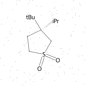 CC(C)[C@@]1(C(C)(C)C)CCS(=O)(=O)C1